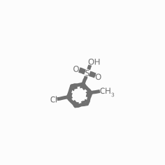 Cc1ccc(Cl)cc1S(=O)(=O)O